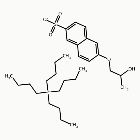 CC(O)COc1ccc2cc(S(=O)(=O)[O-])ccc2c1.CCCC[P+](CCCC)(CCCC)CCCC